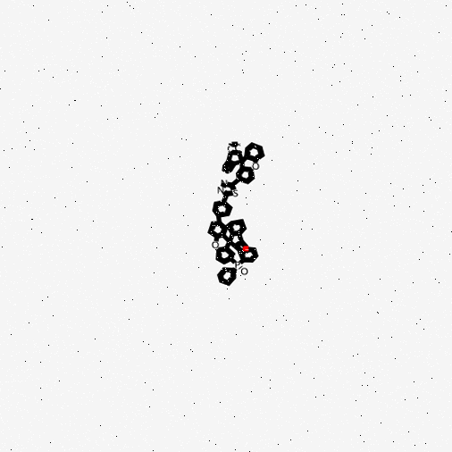 O=P(c1ccccc1)(c1ccccc1)c1ccc2c(c1)C1(c3cc(-c4ccc(-c5nnc(-c6ccc7c(c6)C6(c8ccccc8O7)c7ccccc7-c7ccccc76)s5)cc4)ccc3O2)c2ccccc2-c2ccccc21